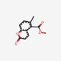 COC(=O)c1c(C)ccc2oc(=O)ccc12